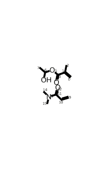 C=C(C)C(=O)OC(C)O.C=CC(=O)N(C)C